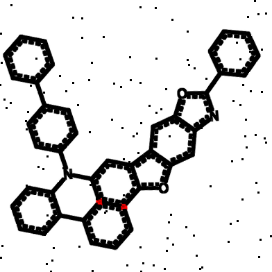 c1ccc(-c2ccc(N(c3ccc4oc5cc6nc(-c7ccccc7)oc6cc5c4c3)c3ccccc3-c3ccccc3)cc2)cc1